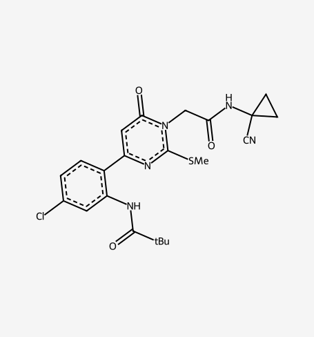 CSc1nc(-c2ccc(Cl)cc2NC(=O)C(C)(C)C)cc(=O)n1CC(=O)NC1(C#N)CC1